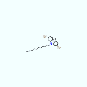 CCCCCCCCCCCCN1c2cc(Br)ccc2[C@H]2C=C[C@@H](Br)CC21